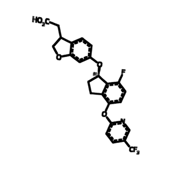 O=C(O)CC1COc2cc(O[C@@H]3CCc4c(Oc5ccc(C(F)(F)F)cn5)ccc(F)c43)ccc21